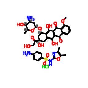 COc1cccc2c1C(=O)c1c(O)c3c(c(O)c1C2=O)C[C@@](O)(C(=O)CO)C[C@@H]3O[C@H]1C[C@H](N)[C@H](O)[C@H](C)O1.Cc1nc(NS(=O)(=O)c2ccc(N)cc2)oc1C.Cl